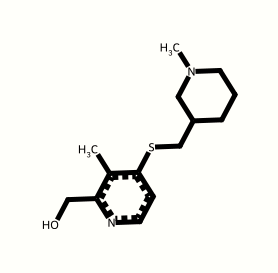 Cc1c(SCC2CCCN(C)C2)ccnc1CO